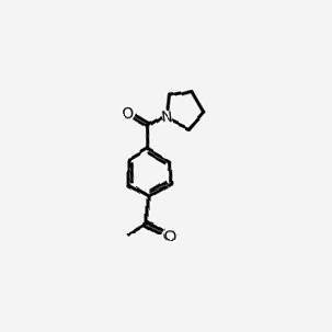 CC(=O)c1ccc(C(=O)N2CCCC2)cc1